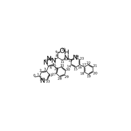 Cc1cc(-c2nnn(C(C=O)CNc3ccc(-c4ccccc4)cn3)c2-c2ccccc2)ccn1